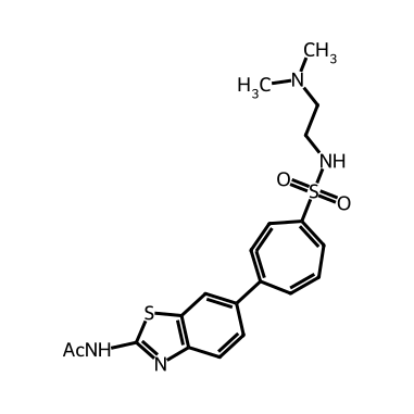 CC(=O)Nc1nc2ccc(C3=C=CC(S(=O)(=O)NCCN(C)C)=CC=C3)cc2s1